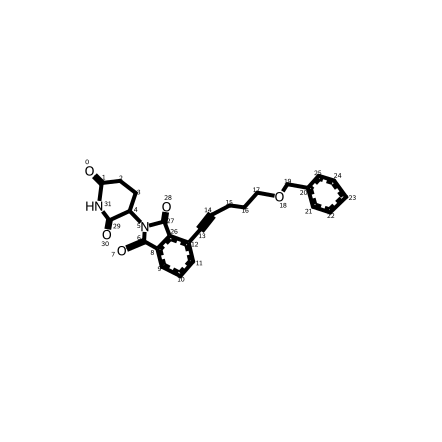 O=C1CCC(N2C(=O)c3cccc(C#CCCCOCc4ccccc4)c3C2=O)C(=O)N1